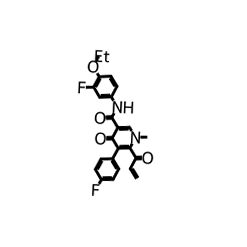 C=CC(=O)c1c(-c2ccc(F)cc2)c(=O)c(C(=O)Nc2ccc(OCC)c(F)c2)cn1C